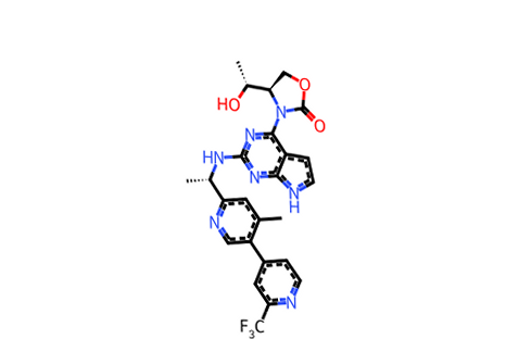 Cc1cc([C@H](C)Nc2nc(N3C(=O)OC[C@@H]3[C@@H](C)O)c3cc[nH]c3n2)ncc1-c1ccnc(C(F)(F)F)c1